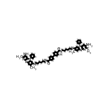 CC1=CC2=Nc3nc(C)c(N)cc3N(c3ccccc3)C2C=C1NCCCCCCNC(=O)c1ccc(-c2ccc(C(=O)NCCCCCCNc3cc4c(cc3C)nc3nc(C)c(N)cc3[n+]4-c3ccccc3)cc2)cc1